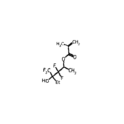 C=C(C)C(=O)OC(C)C(F)(F)C(O)(CC)C(F)(F)F